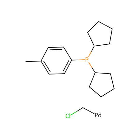 Cc1ccc(P(C2CCCC2)C2CCCC2)cc1.Cl[CH2][Pd]